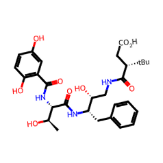 C[C@@H](O)[C@H](NC(=O)c1cc(O)ccc1O)C(=O)N[C@@H](Cc1ccccc1)[C@H](O)CNC(=O)[C@H](CC(=O)O)C(C)(C)C